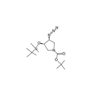 CC(C)(C)OC(=O)N1C[C@H](N=[N+]=[N-])[C@H](O[Si](C)(C)C(C)(C)C)C1